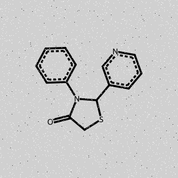 O=C1CSC(c2cccnc2)N1c1ccccc1